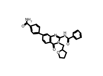 NC(=O)c1ccc(-c2ccc3c(=O)n(CC4CCCO4)c(NC(=O)c4ccccc4)nc3c2)cc1